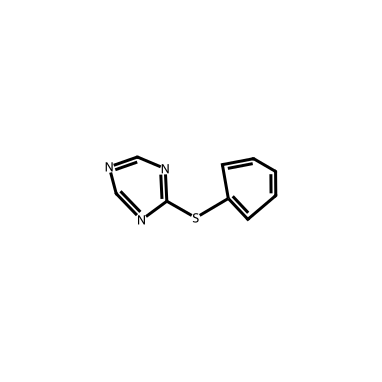 c1ccc(Sc2ncncn2)cc1